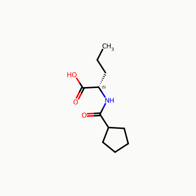 CCC[C@H](NC(=O)C1CCCC1)C(=O)O